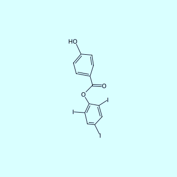 O=C(Oc1c(I)cc(I)cc1I)c1ccc(O)cc1